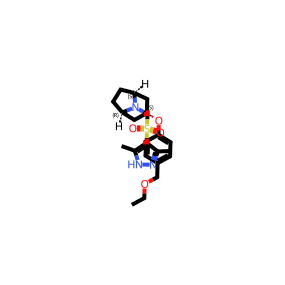 CCOCc1ccc(O[C@@H]2C[C@H]3CC[C@@H](C2)N3CS(=O)(=O)c2c(C)n[nH]c2C)cc1